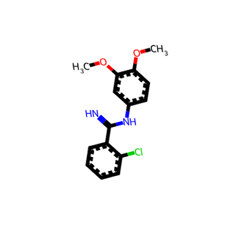 COc1ccc(NC(=N)c2ccccc2Cl)cc1OC